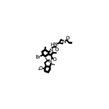 C=CC(=O)N1CC(NC(=O)Cn2c(C)c(C(=O)N3[C@H](C)Cc4c(OC)cccc4[C@@H]3C)c3cc(Br)cc(C)c32)C1